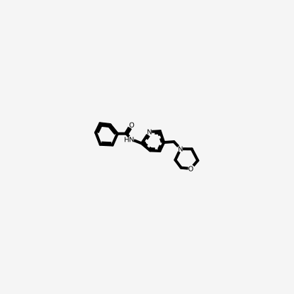 O=C(Nc1ccc(CN2CCOCC2)cn1)C1=C=C=CC=C1